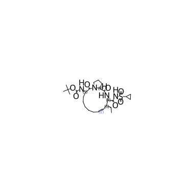 CC[C@H]1/C=C\CCCCC[C@H](NC(=O)OC(C)(C)C)C(=O)N2CCC[C@H]2C(=O)N[C@H]1C(=O)NS(=O)(=O)C1CC1